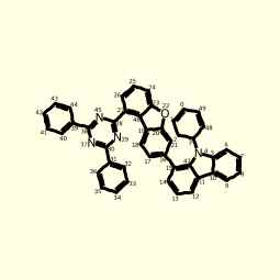 C1=CCC(n2c3ccccc3c3cccc(-c4ccc5c(c4)oc4cccc(-c6nc(-c7ccccc7)nc(-c7ccccc7)n6)c45)c32)C=C1